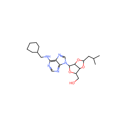 CC(C)CC1OC2C(CO)OC(n3cnc4c(NCC5CCCCC5)ncnc43)C2O1